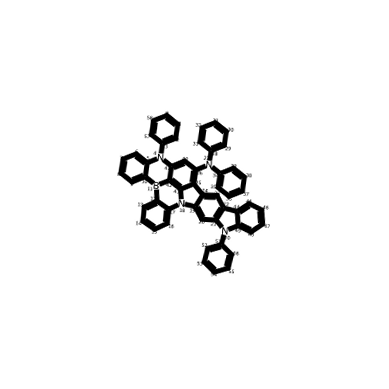 c1ccc(N2c3ccccc3B3c4ccccc4-n4c5cc6c(cc5c5c(N(c7ccccc7)c7ccccc7)cc2c3c54)c2ccccc2n6-c2ccccc2)cc1